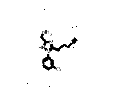 C#CCCCC1=NC(CN)NN1c1cccc(Cl)c1